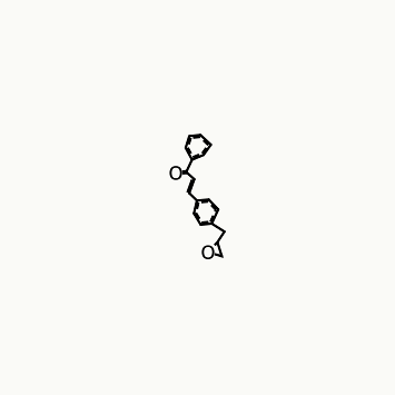 O=C(C=Cc1ccc(CC2CO2)cc1)c1ccccc1